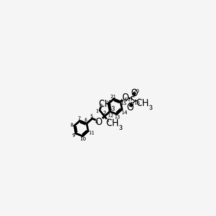 CCC(C)(OCc1ccccc1)c1ccc(OS(C)(=O)=O)cc1